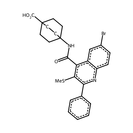 CSc1c(-c2ccccc2)nc2ccc(Br)cc2c1C(=O)NC12CCC(C(=O)O)(CC1)CC2